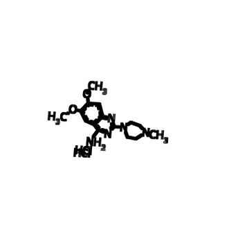 COc1cc2nc(N3CCN(C)CC3)nc(N)c2cc1OC.Cl.Cl